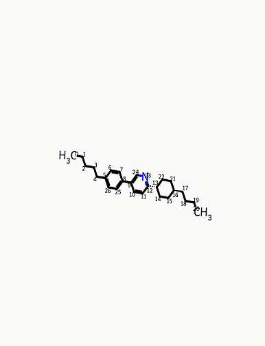 CCCCCc1ccc(-c2ccc([C@H]3CC[C@H](CCCC)CC3)nc2)cc1